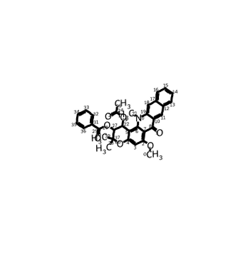 COc1cc2c(c3c1c(=O)c1cc4ccccc4cc1n3C)C(OC(C)=O)C(OC(=O)c1ccccc1)C(C)(C)O2